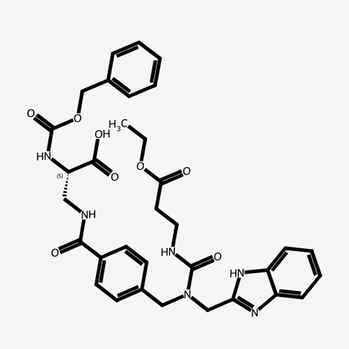 CCOC(=O)CCNC(=O)N(Cc1ccc(C(=O)NC[C@H](NC(=O)OCc2ccccc2)C(=O)O)cc1)Cc1nc2ccccc2[nH]1